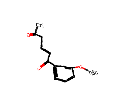 CCCCOc1cccc(C(=O)CCCC(=O)C(F)(F)F)c1